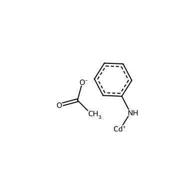 CC(=O)[O-].[Cd+][NH]c1ccccc1